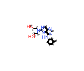 Cc1cccc(Nc2ncnc3cnc(N(CCO)CCO)nc23)c1